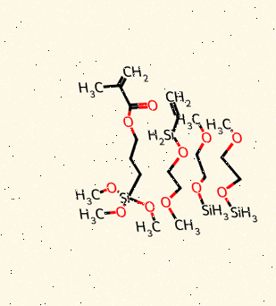 C=C(C)C(=O)OCCC[Si](OC)(OC)OC.C=C[SiH2]OCCOC.COCCO[SiH3].COCCO[SiH3]